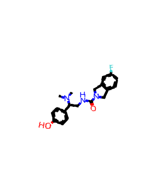 CN(C)C(CNC(=O)N1Cc2ccc(F)cc2C1)c1ccc(O)cc1